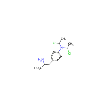 CC(Cl)N(c1ccc(CC(N)C(=O)O)cc1)C(C)Cl